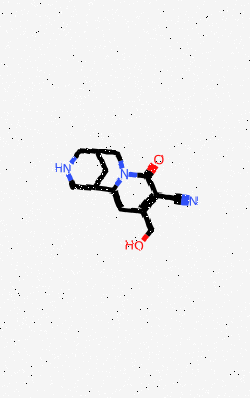 N#Cc1c(CO)cc2n(c1=O)CC1CNCC2C1